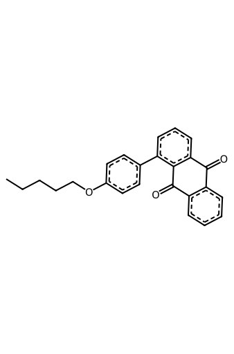 CCCCCOc1ccc(-c2cccc3c2C(=O)c2ccccc2C3=O)cc1